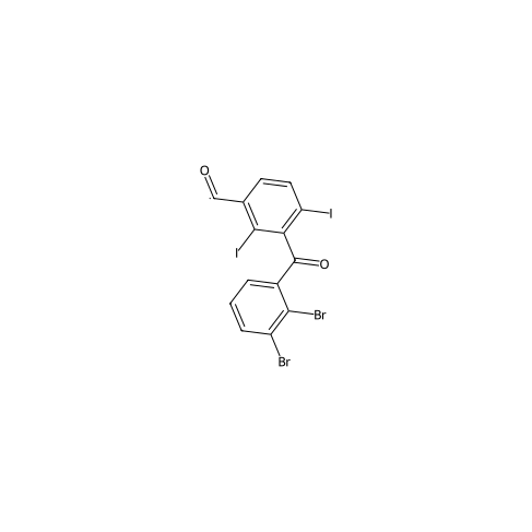 O=[C]c1ccc(I)c(C(=O)c2cccc(Br)c2Br)c1I